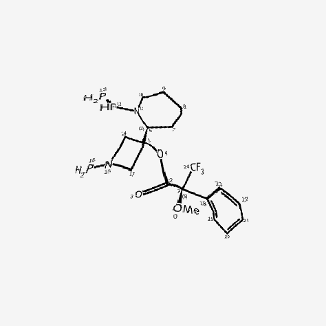 CO[C@](C(=O)OC1([C@@H]2CCCCN2PP)CN(P)C1)(c1ccccc1)C(F)(F)F